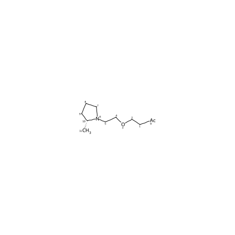 CC(=O)CCOCCN1CCC[C@H]1C